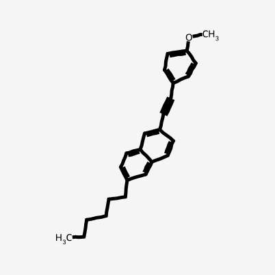 CCCCCCc1ccc2cc(C#Cc3ccc(OC)cc3)ccc2c1